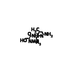 CN/C(=C\O)C(=O)NCc1c(C)cc(N)nc1C